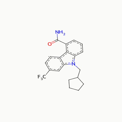 NC(=O)c1cccc2c1c1[c]cc(C(F)(F)F)cc1n2CC1CCCC1